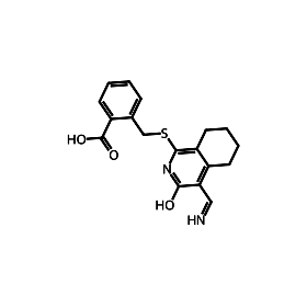 N=Cc1c(O)nc(SCc2ccccc2C(=O)O)c2c1CCCC2